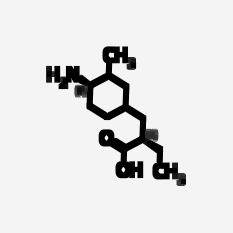 CC[C@H](CC1CC[C@@H](N)C(C)C1)C(=O)O